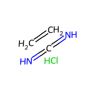 C=C.Cl.N=C=N